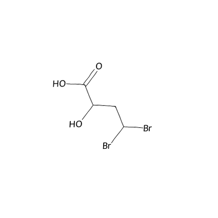 O=C(O)C(O)CC(Br)Br